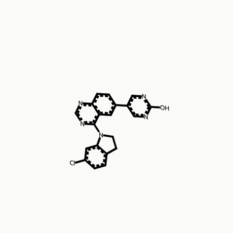 Oc1ncc(-c2ccc3ncnc(N4CCc5ccc(Cl)cc54)c3c2)cn1